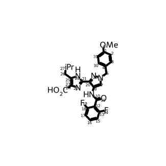 COc1ccc(Cn2cc(NC(=O)c3c(F)cccc3F)c(-c3nc(C(=O)O)c(CC(C)C)[nH]3)n2)cc1